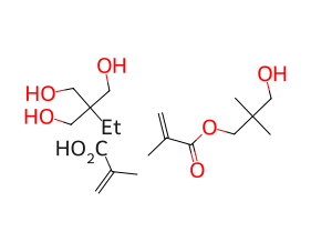 C=C(C)C(=O)O.C=C(C)C(=O)OCC(C)(C)CO.CCC(CO)(CO)CO